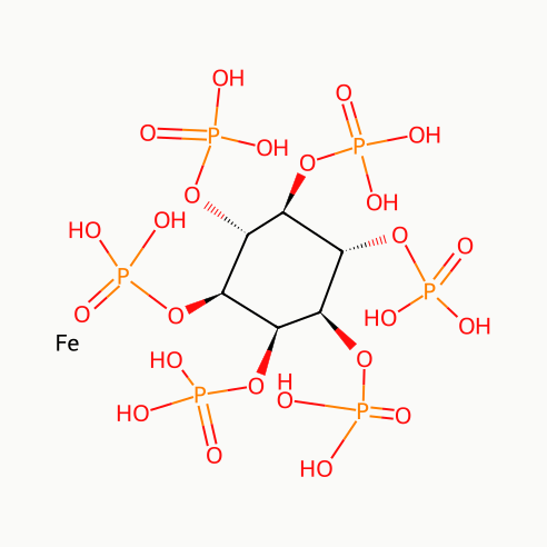 O=P(O)(O)O[C@H]1[C@H](OP(=O)(O)O)[C@@H](OP(=O)(O)O)[C@H](OP(=O)(O)O)[C@@H](OP(=O)(O)O)[C@H]1OP(=O)(O)O.[Fe]